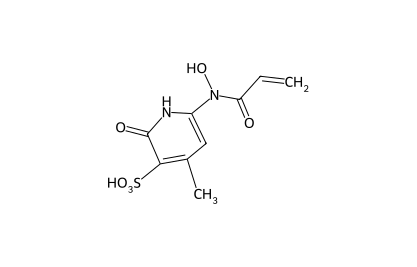 C=CC(=O)N(O)c1cc(C)c(S(=O)(=O)O)c(=O)[nH]1